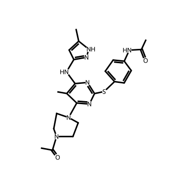 CC(=O)Nc1ccc(Sc2nc(Nc3cc(C)[nH]n3)c(C)c(N3CCN(C(C)=O)CC3)n2)cc1